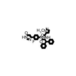 Cn1nccc1C(=O)NC(C(=O)Nc1ccc(-c2cc(=O)[nH]cn2)c(F)c1)C(c1ccccc1)c1ccccc1